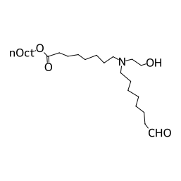 CCCCCCCCOC(=O)CCCCCCCN(CCO)CCCCCCCC=O